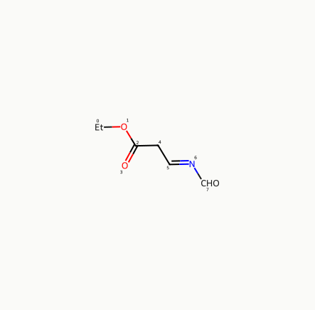 CCOC(=O)CC=NC=O